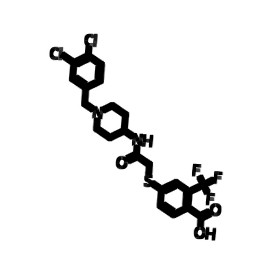 O=C(CSc1ccc(C(=O)O)c(C(F)(F)F)c1)NC1CCN(Cc2ccc(Cl)c(Cl)c2)CC1